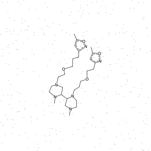 Cc1cc(CCCOCCN2CCN(C)C(C3CN(C)CCN3CCCOCCc3cc(C)on3)C2)no1